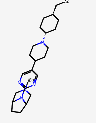 CCC(C)N1CC2CCC(C1)N2c1ncc(C2CCN([C@H]3CC[C@H](CC(C)=O)CC3)CC2)cn1